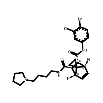 O=C(NCCCCN1CCCC1)[C@H]1[C@H](C(=O)Nc2ccc(Br)c(Cl)c2)[C@@H]2C=C[C@H]1C21CC1